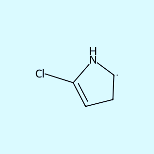 ClC1=CC[CH]N1